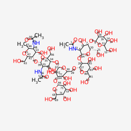 CC(=O)NC1C(O)[C@H](O[C@@H]2OC(CO)[C@H](O)[C@H](O)C2O)[C@H](CO)O[C@H]1OC1[C@@H](OCC2O[C@@H](O[C@@H]3C(CO)O[C@@H](O[C@@H]4C(CO)O[C@@H](C)C(NC(C)=O)[C@H]4O)C(NC(C)=O)[C@H]3O)C(O)[C@@H](O[C@H]3O[C@H](CO)[C@@H](O)C(O)C3O)[C@@H]2O)OC(CO)[C@@H](O)[C@@H]1O